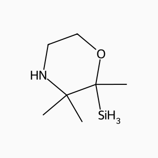 CC1(C)NCCOC1(C)[SiH3]